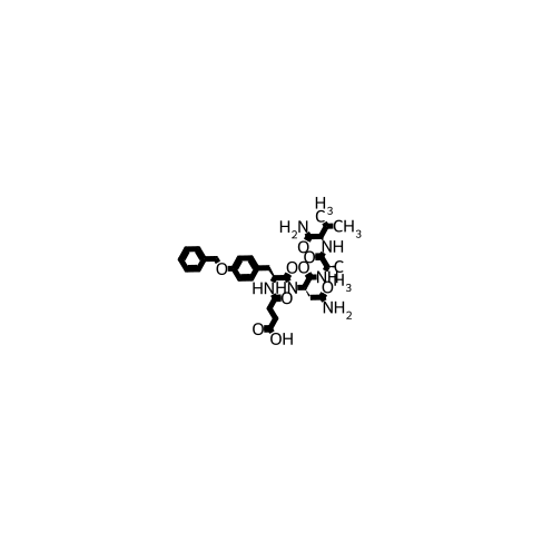 CC(C)[C@H](NC(=O)[C@H](C)NC(=O)[C@H](CC(N)=O)NC(=O)[C@H](Cc1ccc(OCc2ccccc2)cc1)NC(=O)CCC(=O)O)C(N)=O